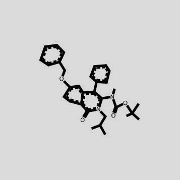 CC(C)Cn1c(N(C)C(=O)OC(C)(C)C)c(-c2ccccc2)c2cc(OCc3ccccc3)ccc2c1=O